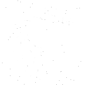 Cc1cc(CN[C@@H]2CCC[C@@H]2O[Si](C)(C)C(C)(C)C)cc2nc(-c3cccc(-c4ccc(F)cc4-c4nncn4C)c3)oc12